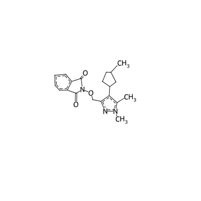 Cc1c(C2CCC(C)C2)c(CON2C(=O)c3ccccc3C2=O)nn1C